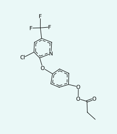 CCC(=O)OOc1ccc(Oc2ncc(C(F)(F)F)cc2Cl)cc1